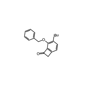 CCC(C)c1ccc2c(c1OCc1ccccc1)C(=O)C2